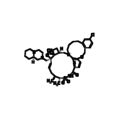 CO[C@]1(CN2CCN3CCCC[C@@H]3C2)/C=C/C[C@H](C)[C@@H](C)S(=O)(=O)NC(=O)c2ccc3c(n2)N(CCCCc2cc(Cl)ccc2CO3)C[C@@H]2CC[C@H]21